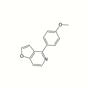 COc1ccc(-c2nccc3occc23)cc1